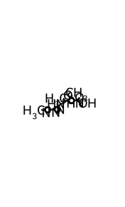 COc1cc(C(=O)NO)ccc1C(C)CNc1cc(-c2ccc(C)nc2)ncn1